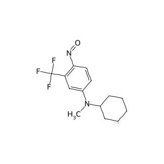 CN(c1ccc(N=O)c(C(F)(F)F)c1)C1C[CH]CCC1